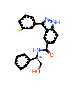 O=C(N[C@@H](CO)c1ccccc1)c1ccc2[nH]nc(-c3cccc(F)c3)c2c1